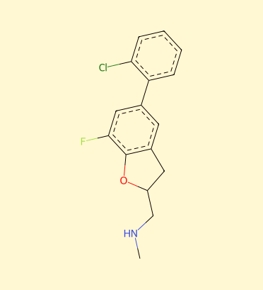 CNCC1Cc2cc(-c3ccccc3Cl)cc(F)c2O1